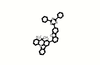 CC1(C)c2ccccc2-n2c3ccccc3c3cc(-c4cccc5c4oc4cc(-c6nc(-c7ccccc7)nc(-c7ccccc7)n6)ccc45)cc1c32